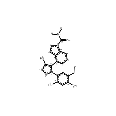 CCc1cc(-n2nnc(S)c2-c2cccc3c2ccn3C(=O)N(C)C)c(O)cc1O